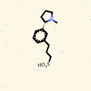 CN1CCC[C@H]1c1cccc(CCCS(=O)(=O)O)c1